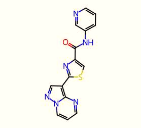 O=C(Nc1cccnc1)c1csc(-c2cnn3cccnc23)n1